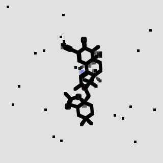 CC(=O)/C=C1/[C@@]2(C)C=C(C#N)C(=O)[C@@H](C)[C@@H]2CC[C@@]1(C)C(C)(C)CC[C@@]1(OC(C)=O)CCC(C)(C)CC1C